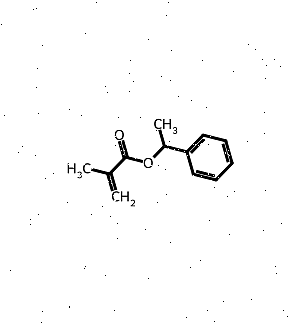 C=C(C)C(=O)OC(C)c1ccccc1